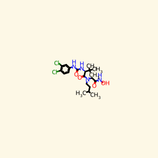 CC(C)CCN(CC(=O)NO)C(=O)[C@@H](NC(=O)Nc1ccc(Cl)c(Cl)c1)C(C)(C)C